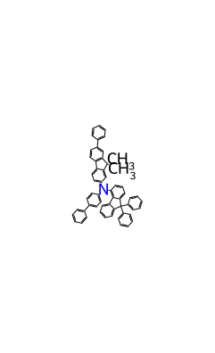 CC1(C)c2cc(-c3ccccc3)ccc2-c2ccc(N(c3ccc(-c4ccccc4)cc3)c3cccc4c3-c3ccccc3C4(c3ccccc3)c3ccccc3)cc21